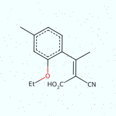 CCOc1cc(C)ccc1C(C)=C(C#N)C(=O)O